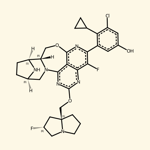 Oc1cc(Cl)c(C2CC2)c(-c2nc3c4c(nc(OC[C@@]56CCCN5C[C@H](F)C6)nc4c2F)N2C[C@H]4CC[C@H](N4)[C@@H]2CO3)c1